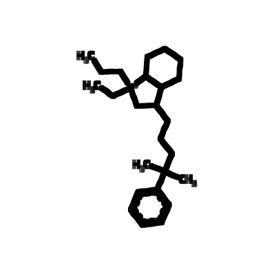 CCC[N+]1(CC)CC(CCCC(C)(C)c2ccccc2)C2CCCCC21